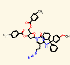 COc1ccc(C(Nc2nc(=O)n(C3CC(OC(=O)c4ccc(C)cc4)C(COC(=O)c4ccc(C)cc4)O3)cc2CCN=[N+]=[N-])(c2ccccc2)c2ccccc2)cc1